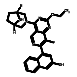 Oc1cc(-c2ncc3c(N4C[C@H]5CC[C@@H](C4)N5)nc(OCC(F)(F)F)nc3c2F)c2ccccc2c1